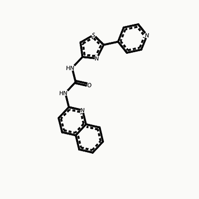 O=C(Nc1csc(-c2ccncc2)n1)Nc1ccc2ccccc2n1